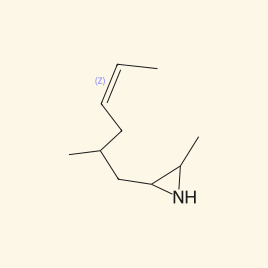 C/C=C\CC(C)CC1NC1C